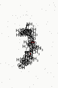 CC[C@H](C)[C@H](NC(=O)[C@H](C)NC(=O)[C@H](Cc1ccccc1)NC(=O)[C@H](CCSC)NC(=O)[C@H](C)NC(=O)[C@H](CCC(=O)O)NC(=O)[C@H](C)NC(=O)[C@H](CCC(=O)O)NC(=O)[C@@H]1CCCN1)C(=O)N[C@@H](CC(N)=O)C(=O)N[C@@H](C)C(=O)N[C@@H](CC(=O)O)C(=O)NCC(=O)N[C@H](C(=O)NCC(=O)N[C@@H](CC(=O)O)C(=O)N[C@@H](C)C(=O)N[C@@H](CCCCN)C(=O)N[C@@H](CC(=O)O)C(=O)O)C(C)C